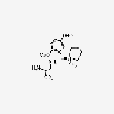 COc1ccc(C=O)cc1C.NC1CCCCC1.NC[C@H](N)C(=O)O